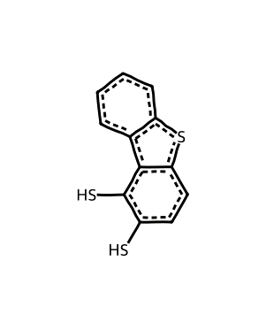 Sc1ccc2sc3ccccc3c2c1S